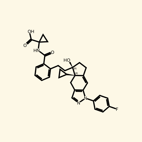 O=C(NC1(C(=O)O)CC1)c1ccccc1CC[C@]1(O)CCC2=Cc3c(cnn3-c3ccc(F)cc3)C[C@@]21C1CC1